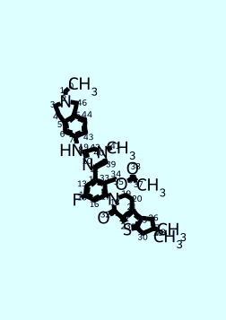 CCN1CCc2cc(NC3=NC(c4cc(F)cc(N5CCc6c(sc7c6CC(C)(C)C7)C5=O)c4COC(C)=O)=CN(C)C3)ccc2C1